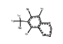 [2H]c1c(C([2H])([2H])[2H])c([2H])c2nccnc2c1[2H]